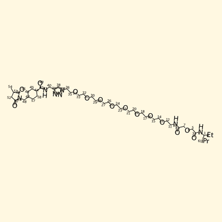 CCC(NC(=O)COCC(=O)NCCOCCOCCOCCOCCOCCOCCOCCOCCn1cc(CNC(=O)C2CCC(CN3C(=O)CC(C)C3=O)CC2)nn1)C(C)C